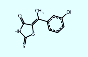 CC(=C1SC(=S)NC1=O)c1cccc(O)c1